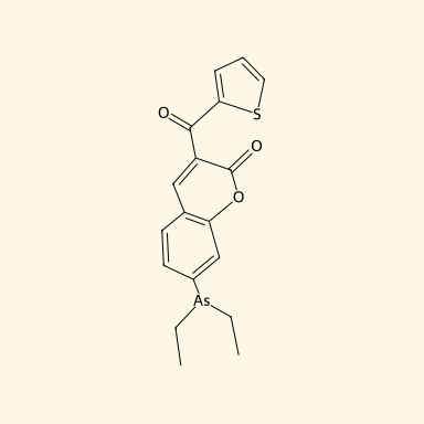 CC[As](CC)c1ccc2cc(C(=O)c3cccs3)c(=O)oc2c1